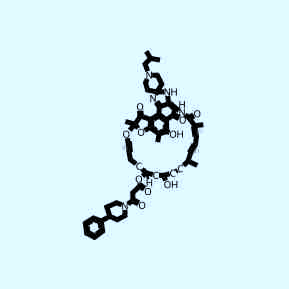 C/C1=C/C=C/C(C)CCC(O)C[C@H](OC(=O)CC(=O)N2CCC(c3ccccc3)CC2)CC/C=C/OC2(C)Oc3c(C)c(O)c4c(c3C2=O)C2=NC3(CCN(CC(C)C)CC3)NC2=C(NC1=O)C4=O